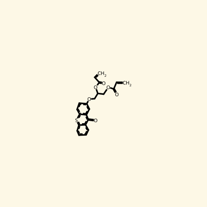 C=CC(=O)OCC(COc1ccc2sc3ccccc3c(=O)c2c1)OC(=O)C=C